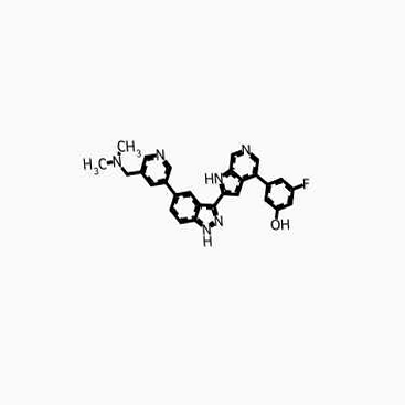 CN(C)Cc1cncc(-c2ccc3[nH]nc(-c4cc5c(-c6cc(O)cc(F)c6)cncc5[nH]4)c3c2)c1